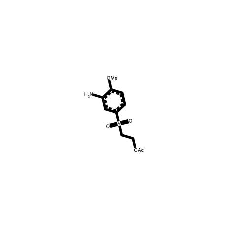 COc1ccc(S(=O)(=O)CCOC(C)=O)cc1N